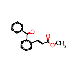 COC(=O)C=Cc1ccccc1C(=O)c1ccccc1